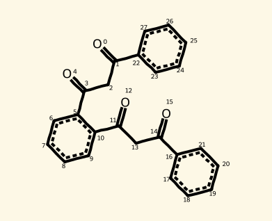 O=C(CC(=O)c1ccccc1C(=O)CC(=O)c1ccccc1)c1ccccc1